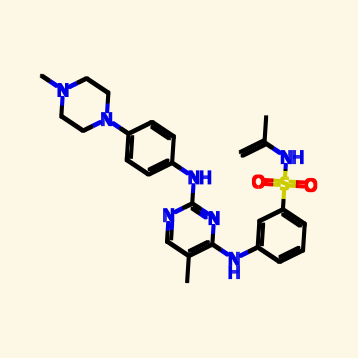 C=C(C)NS(=O)(=O)c1cccc(Nc2nc(Nc3ccc(N4CCN(C)CC4)cc3)ncc2C)c1